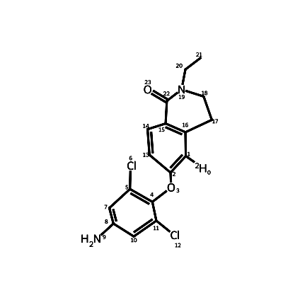 [2H]c1c(Oc2c(Cl)cc(N)cc2Cl)ccc2c1CCN(CC)C2=O